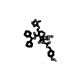 Cn1nnnc1SCC1=C(C(=O)OC(c2ccccc2)c2ccccc2)N2C(=O)[C@@](NC=O)(NC(=O)OCc3ccc([N+](=O)[O-])cc3)[C@@H]2SC1